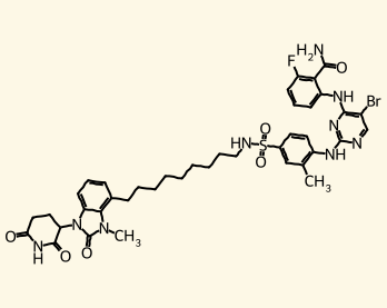 Cc1cc(S(=O)(=O)NCCCCCCCCCc2cccc3c2n(C)c(=O)n3C2CCC(=O)NC2=O)ccc1Nc1ncc(Br)c(Nc2cccc(F)c2C(N)=O)n1